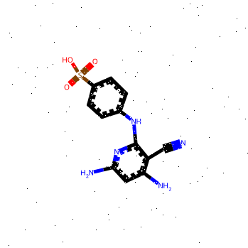 N#Cc1c(N)cc(N)nc1Nc1ccc(S(=O)(=O)O)cc1